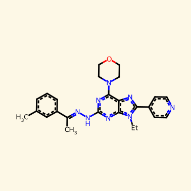 CCn1c(-c2ccncc2)nc2c(N3CCOCC3)nc(N/N=C(\C)c3cccc(C)c3)nc21